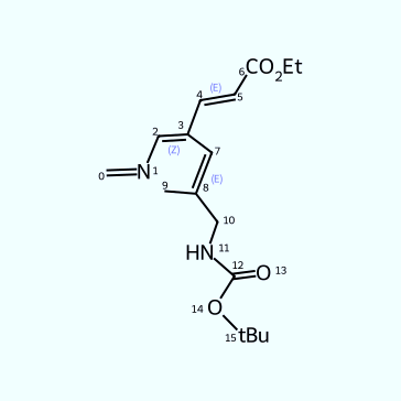 C=N/C=C(/C=C/C(=O)OCC)\C=C(/C)CNC(=O)OC(C)(C)C